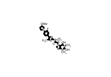 CO[C@H]1CCN(c2ccc(-c3nc(NC(=O)[C@H](C)n4cnc5c4C(O)N(C)C(O)N5C)sc3C)cc2F)C1